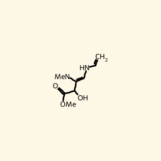 C=CN/C=C(\NC)C(O)C(=O)OC